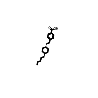 CCCCC[C@H]1CC[C@H](CCc2ccc(C(=O)O)cc2)CC1